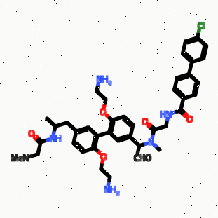 CNCC(=O)NC(C)Cc1ccc(OCCN)c(-c2cc(C(C=O)N(C)C(=O)CNC(=O)c3ccc(-c4ccc(Cl)cc4)cc3)ccc2OCCN)c1